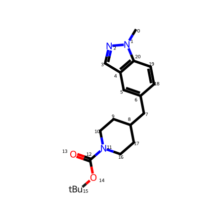 Cn1ncc2cc(CC3CCN(C(=O)OC(C)(C)C)CC3)ccc21